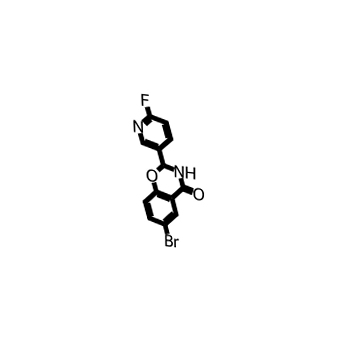 O=C1NC(c2ccc(F)nc2)Oc2ccc(Br)cc21